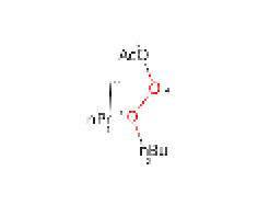 CCCC.CCCCOOOC(C)=O